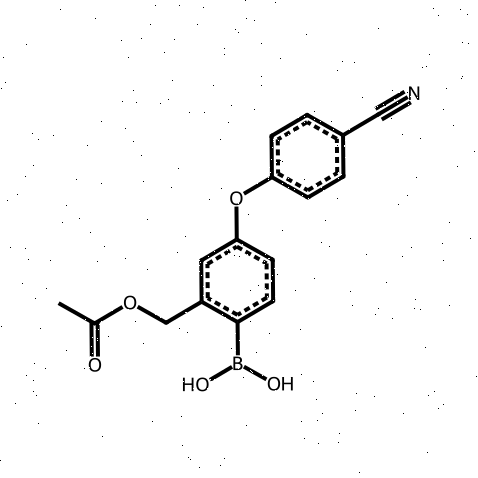 CC(=O)OCc1cc(Oc2ccc(C#N)cc2)ccc1B(O)O